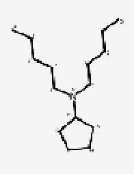 CCCCCN(CCCCC)C1CCCC1